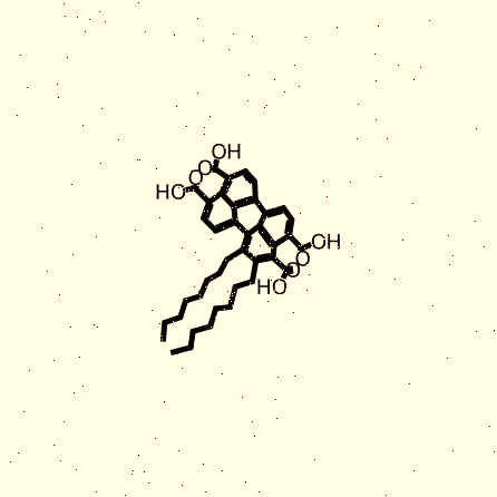 CCCCCCCCc1c(C(=O)O)c2c(C(=O)O)ccc3c4ccc(C(=O)O)c5c(C(=O)O)ccc(c(c1CCCCCCCC)c23)c54